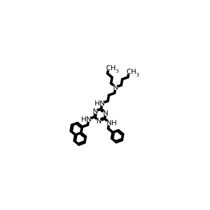 CCCCN(CCCC)CCCNc1nc(NCc2ccccc2)nc(NCc2cccc3ccccc23)n1